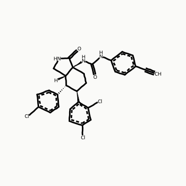 C#Cc1ccc(NC(=O)N[C@@]23CC[C@@H](c4ccc(Cl)cc4Cl)[C@H](c4ccc(Cl)cc4)[C@@H]2CNC3=O)cc1